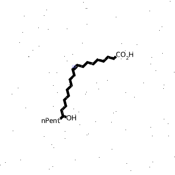 CCCCCC(O)CCCCCCCC/C=C\CCCCCCCC(=O)O